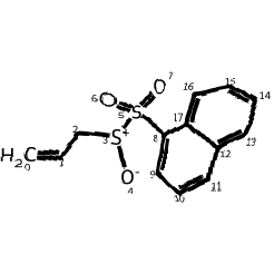 C=CC[S+]([O-])S(=O)(=O)c1cccc2ccccc12